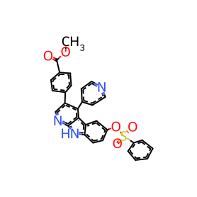 COC(=O)c1ccc(-c2cnc3[nH]c4ccc(OS(=O)(=O)c5ccccc5)cc4c3c2-c2ccncc2)cc1